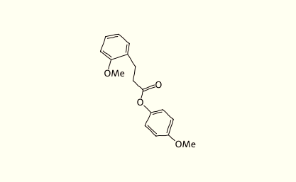 COc1ccc(OC(=O)CCc2ccccc2OC)cc1